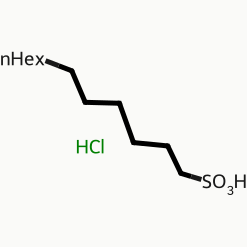 CCCCCCCCCCCCS(=O)(=O)O.Cl